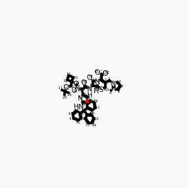 Cn1ccc[n+]1CC1=C(C(=O)[O-])N2C(=O)[C@@H](NC(=O)/C(=N\OC3(C(=O)OC(C)(C)C)CCC3)c3csc(NC(c4ccccc4)(c4ccccc4)c4ccccc4)n3)[C@H]2SC1